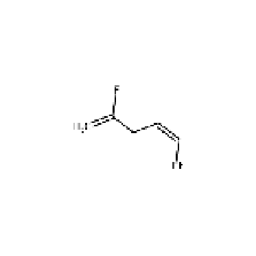 C=C(F)C/C=C\CC